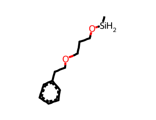 C[SiH2]OCCCOCCc1ccccc1